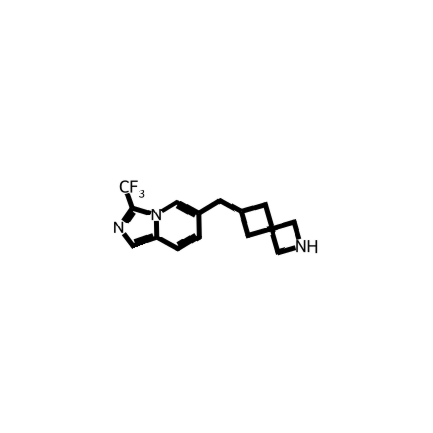 FC(F)(F)c1ncc2ccc(CC3CC4(CNC4)C3)cn12